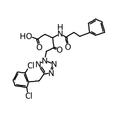 O=C(O)CC(NC(=O)CCc1ccccc1)C(=O)Cn1nnc(Cc2c(Cl)cccc2Cl)n1